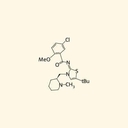 COc1ccc(Cl)cc1C(=O)N=c1sc(C(C)(C)C)cn1C[C@@H]1CCCCN1C